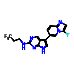 Fc1cnc2ccc(-c3c[nH]c4nc(NCCC(F)(F)F)ncc34)cn12